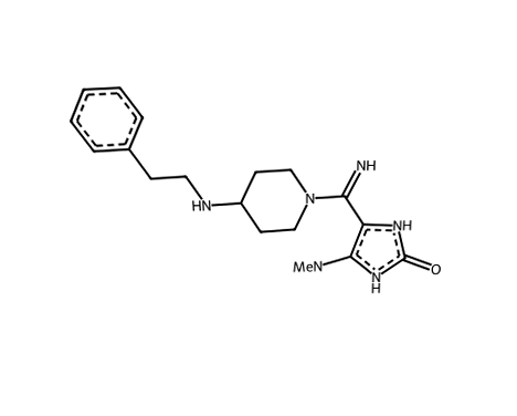 CNc1[nH]c(=O)[nH]c1C(=N)N1CCC(NCCc2ccccc2)CC1